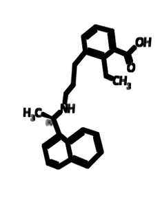 CCc1c(CCCN[C@H](C)c2cccc3ccccc23)cccc1C(=O)O